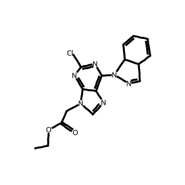 CCOC(=O)Cn1cnc2c(N3N=CC4C=CC=CC43)nc(Cl)nc21